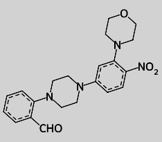 O=Cc1ccccc1N1CCN(c2ccc([N+](=O)[O-])c(N3CCOCC3)c2)CC1